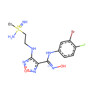 CC[SH](=N)(N)CCNc1nonc1/C(=N/O)Nc1ccc(F)c(Br)c1